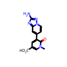 Cn1cc(C(=O)O)cc(-c2ccn3nc(N)nc3c2)c1=O